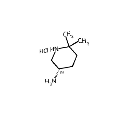 CC1(C)CC[C@H](N)CN1.Cl